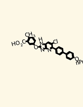 CCCOc1ccc(-c2ccc(-c3nc4nc(Oc5ccc(C)c(C(=O)O)c5)[nH]c4cc3Cl)cc2)cc1